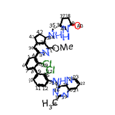 COc1nc(-c2cccc(-c3cccc(Nc4nc(C)nc5cccnc45)c3Cl)c2Cl)cc2c1[C@H](NC[C@@H]1CCC(=O)N1)CC2